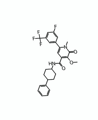 COc1c(C(=O)NC2CCC(c3ccccc3)CC2)cc(-c2cc(F)cc(C(F)(F)F)c2)n(C)c1=O